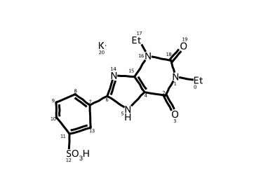 CCn1c(=O)c2[nH]c(-c3cccc(S(=O)(=O)O)c3)nc2n(CC)c1=O.[K]